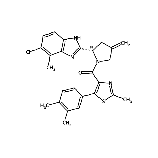 C=C1C[C@@H](c2nc3c(C)c(Cl)ccc3[nH]2)N(C(=O)c2nc(C)sc2-c2ccc(C)c(C)c2)C1